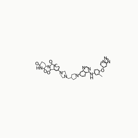 Cc1cc(Nc2ncnc3cc(N4CCC(CN5CCN(c6ccc7c(c6)C(=O)N(C6CCC(=O)NC6=O)C7=O)CC5)CC4)ccc23)ccc1Oc1ccn2ncnc2c1